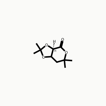 CC1(C)CC2OC(C)(C)O[C@H]2C(=O)O1